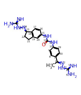 CC(=NNC(=N)N)c1ccc(NC(=O)Nc2ccc3c(c2)CCC3=NNC(=N)N)cc1